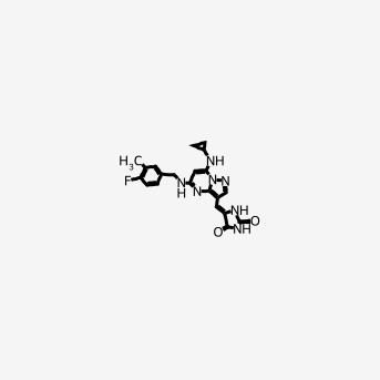 Cc1cc(CNc2cc(NC3CC3)n3ncc(/C=C4\NC(=O)NC4=O)c3n2)ccc1F